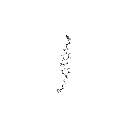 CCCCCC[C@H]1CC[C@H](C(=O)O[C@H]2CC[C@H](CCC=CC#N)CC2)CC1